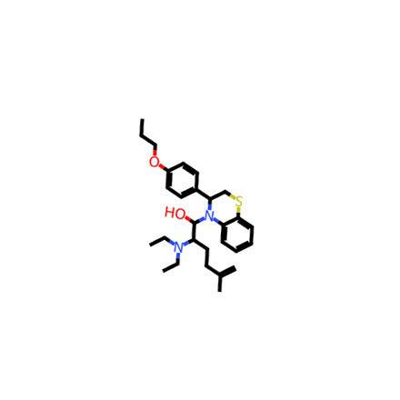 C=C(C)CCC(C(O)N1c2ccccc2SCC1c1ccc(OCCC)cc1)N(CC)CC